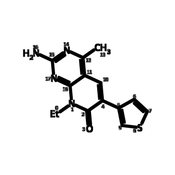 CCn1c(=O)c(-c2ccsc2)cc2c(C)nc(N)nc21